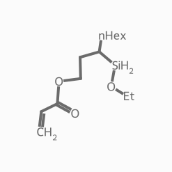 C=CC(=O)OCCC(CCCCCC)[SiH2]OCC